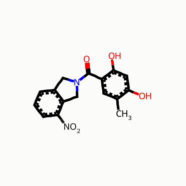 Cc1cc(C(=O)N2Cc3cccc([N+](=O)[O-])c3C2)c(O)cc1O